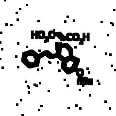 CCCCOc1ccc2c(c1)CCN=C2C=Cc1ccccc1.O=C(O)C=CC(=O)O